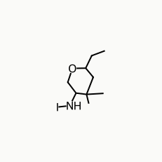 CCC1CC(C)(C)C(NI)CO1